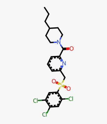 CCCC1CCN(C(=O)c2cccc(CS(=O)(=O)c3cc(Cl)c(Cl)cc3Cl)n2)CC1